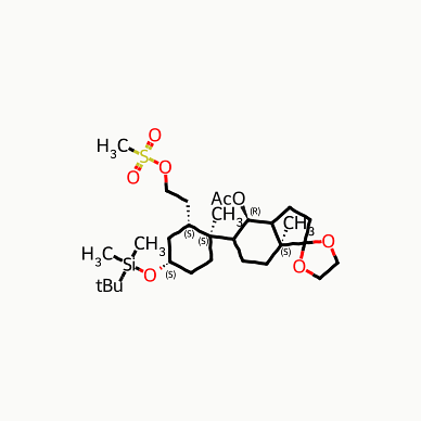 CC(=O)O[C@H]1C2CCC3(OCCO3)[C@@]2(C)CCC1[C@@]1(C)CC[C@H](O[Si](C)(C)C(C)(C)C)C[C@@H]1CCOS(C)(=O)=O